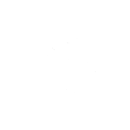 CC(C)(C)C1(COc2cccc3c2CCC3O)CN(C(=O)O)CCO1